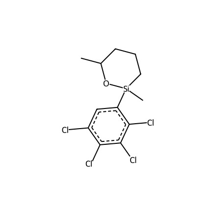 CC1CCC[Si](C)(c2cc(Cl)c(Cl)c(Cl)c2Cl)O1